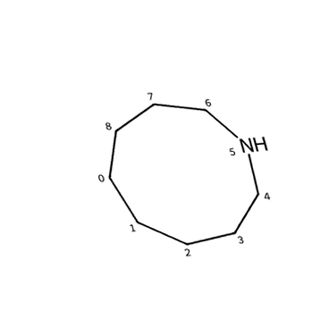 C1CCCCNCCC1